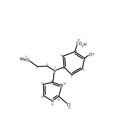 COCCN(c1ccc(Cl)c(C(=O)O)c1)c1ccnc(Cl)n1